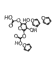 O=C(O)Oc1oc(OC(=O)O)c(O)c1O.c1ccoc1.c1ccoc1.c1ccoc1